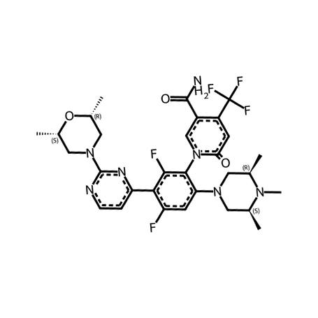 C[C@@H]1CN(c2nccc(-c3c(F)cc(N4C[C@@H](C)N(C)[C@@H](C)C4)c(-n4cc(C(N)=O)c(C(F)(F)F)cc4=O)c3F)n2)C[C@H](C)O1